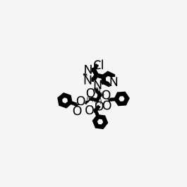 O=C(OC[C@H]1O[C@@H](n2c3cnccc3c3c(Cl)ncnc32)[C@H](OC(=O)c2ccccc2)[C@@H]1OC(=O)c1ccccc1)c1ccccc1